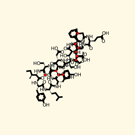 CC[C@H](C)[C@H](NC(=O)[C@H](CO)NC(=O)[C@H](Cc1ccc(O)cc1)NC(=O)[C@H](CC(=O)O)NC(=O)[C@H](CO)NC(=O)[C@@H](NC(=O)[C@H](Cc1ccccc1)NC(=O)[C@@H](NC(=O)CNC(=O)[C@H](CCC(=O)O)NC(=O)CC(C)CC(=O)NCCN1C(=O)CSC1=O)[C@@H](C)O)[C@@H](C)O)C(=O)N[C@@H](Cc1ccc(O)cc1)C(=O)N[C@@H](CCC(C)C)C(=O)N[C@@H](CC(=O)O)C(=O)N[C@H](C)CCCCN